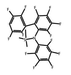 C[Si](C)(C)N(c1c(F)c(F)c(F)c(F)c1F)c1c(F)c(F)c(F)c(F)c1-c1c(F)c(F)[c]c(F)c1F